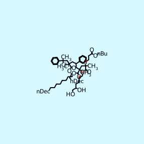 CCCCCCCCCCCCCCCCCCOC(=O)C(C)(CC(CC(C)(CC(C)(C)c1ccccc1)C(=O)OCCCCCCCCCCCC)c1ccccc1)CC(C)(SCCC(=O)OCCCC)C(=O)OCCCCC(O)CO